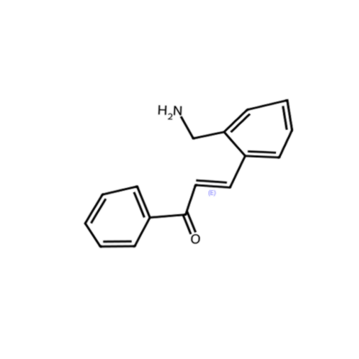 NCc1ccccc1/C=C/C(=O)c1ccccc1